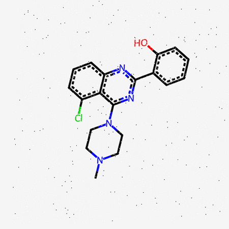 CN1CCN(c2nc(-c3ccccc3O)nc3cccc(Cl)c23)CC1